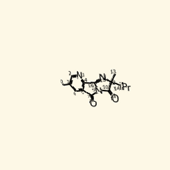 Cc1cnc2c(c1)C(=O)N1C(=O)C(C)(C(C)C)N=C21